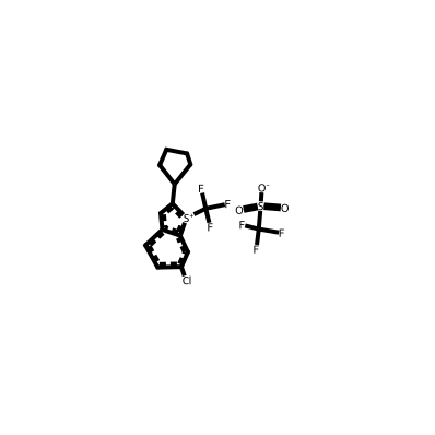 FC(F)(F)[s+]1c(C2CCCC2)cc2ccc(Cl)cc21.O=S(=O)([O-])C(F)(F)F